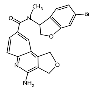 CN(C(=O)c1ccc2nc(N)c3c(c2c1)COC3)C1COc2cc(Br)ccc21